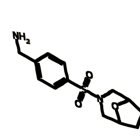 NCc1ccc(S(=O)(=O)N2CC3CCC(C2)O3)cc1